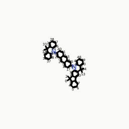 CC1(C)c2ccccc2-c2cc3c(cc21)N(c1ccc2cc4cc(N5c6ccccc6C(C)(C)c6ccccc65)ccc4cc2c1)c1ccccc1C3(C)C